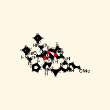 COCc1cn2c(Nc3cc([C@@H]4OC[C@H](OC(=O)NC56CC(C5)C6)[C@@H]4F)[nH]n3)nc(C3CC3[n+]3[nH]c([C@@H]4CC[C@H](OC(=O)NC56CC(C5)C6)[C@@H]4F)cc3Nc3nc(C(F)F)cc4nc(COC)cn34)cc2n1